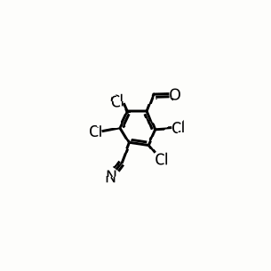 N#Cc1c(Cl)c(Cl)c(C=O)c(Cl)c1Cl